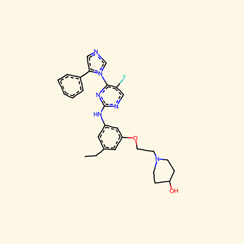 CCc1cc(Nc2ncc(F)c(-n3cncc3-c3ccccc3)n2)cc(OCCN2CCC(O)CC2)c1